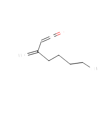 C=C([C]=C=O)CCCCC